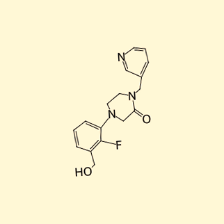 O=C1CN(c2cccc(CO)c2F)CCN1Cc1cccnc1